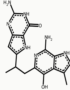 Cc1c[nH]c2c(N)nc(CC(C)c3cc4nc(N)[nH]c(=O)c4[nH]3)c(O)c12